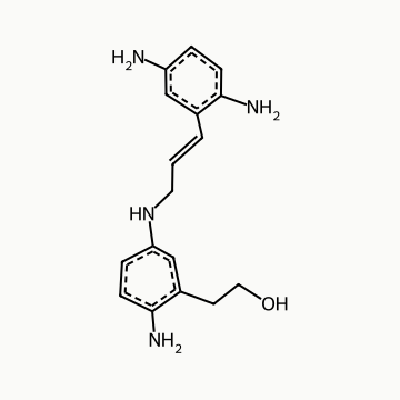 Nc1ccc(N)c(C=CCNc2ccc(N)c(CCO)c2)c1